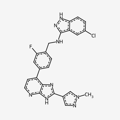 Cn1cc(-c2nc3c(-c4ccc(CNc5n[nH]c6ccc(Cl)cc56)c(F)c4)ccnc3[nH]2)cn1